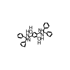 Oc1cc(-c2nc(-c3ccccc3)c(-c3ccccc3)[nH]2)c(O)cc1-c1nc(-c2ccccc2)c(-c2ccccc2)[nH]1